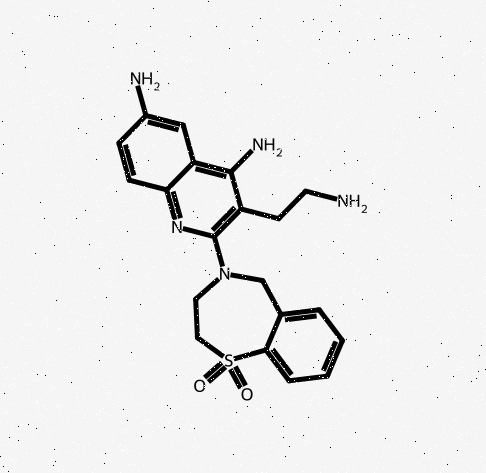 NCCc1c(N2CCS(=O)(=O)c3ccccc3C2)nc2ccc(N)cc2c1N